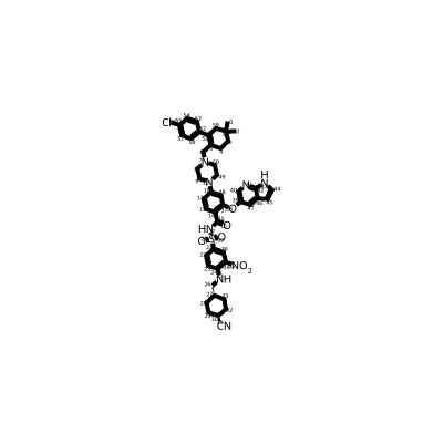 CC1(C)CCC(CN2CCN(c3ccc(C(=O)NS(=O)(=O)c4ccc(NC[C@H]5CC[C@H](C#N)CC5)c([N+](=O)[O-])c4)c(Oc4cnc5[nH]ccc5c4)c3)CC2)=C(c2ccc(Cl)cc2)C1